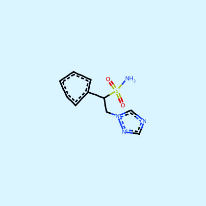 NS(=O)(=O)C(Cn1cncn1)c1ccccc1